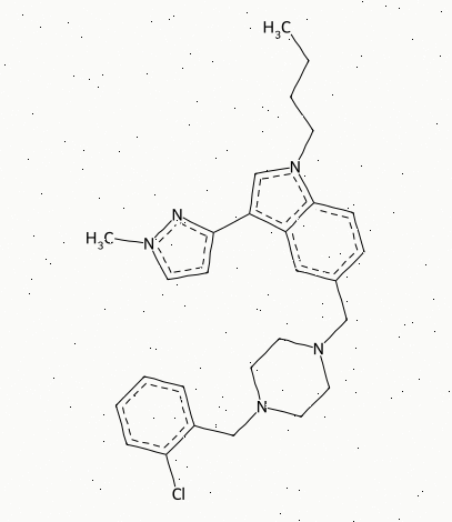 CCCCn1cc(-c2ccn(C)n2)c2cc(CN3CCN(Cc4ccccc4Cl)CC3)ccc21